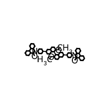 COc1ccc2cc(-c3ccc(-n4c(=O)c5ccccc5c5ccccc54)cc3)ccc2c1-c1c(OC)ccc2cc(-c3ccc(-n4c(=O)c5ccccc5c5ccccc54)cc3)ccc12